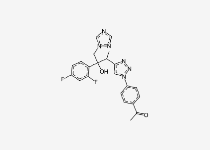 CC(=O)c1ccc(-n2cc(C(C)C(O)(Cn3cncn3)c3ccc(F)cc3F)nn2)cc1